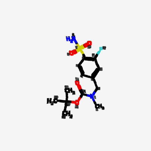 CN(Cc1ccc(S(N)(=O)=O)c(F)c1)C(=O)OC(C)(C)C